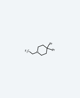 CC(C)C1(C(C)C)CCN(CC(F)(F)F)CC1